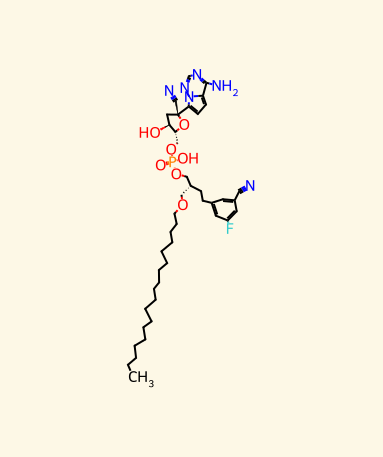 CCCCCCCCCCCCCCCCCCOC[C@@H](CCc1cc(F)cc(C#N)c1)COP(=O)(O)OC[C@H]1O[C@@](C#N)(c2ccc3c(N)ncnn23)C[C@@H]1O